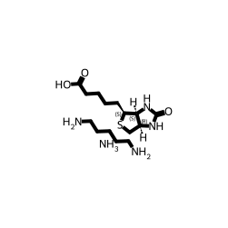 N.NCCCCCN.O=C(O)CCCC[C@@H]1SC[C@@H]2NC(=O)N[C@@H]21